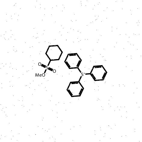 COS(=O)(=O)C1CCCCC1.c1ccc([S+](c2ccccc2)c2ccccc2)cc1